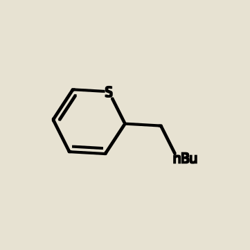 CCCCCC1C=CC=CS1